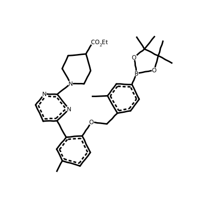 CCOC(=O)C1CCN(c2nccc(-c3cc(C)ccc3OCc3ccc(B4OC(C)(C)C(C)(C)O4)cc3C)n2)CC1